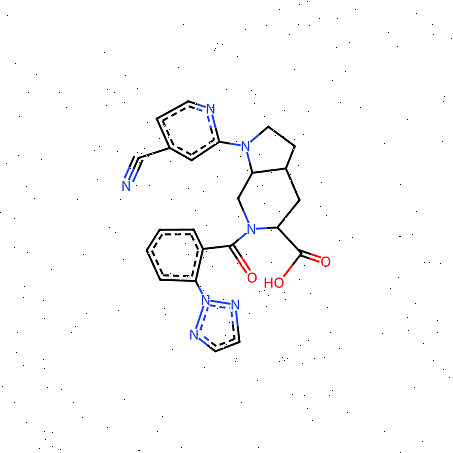 N#Cc1ccnc(N2CCC3CC(C(=O)O)N(C(=O)c4ccccc4-n4nccn4)CC32)c1